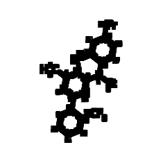 CCN(c1nc(C)nc(-c2ccccc2C(F)(F)F)n1)c1ccc(C(C)C)cc1Br